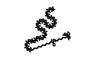 CO[Si](CCCCCNC(=O)CCCCCCCCCC[Si](C)(C)O[Si](C)(C)O[Si](C)(C)O[Si](C)(C)O[Si](C)(C)O[Si](C)(C)O[Si](C)(C)O[Si](C)(C)O[Si](C)(C)O[Si](C)(C)O[Si](C)(C)O[Si](C)(C)O[Si](C)(C)O[Si](C)(C)O[Si](C)(C)O[Si](C)(C)O[Si](C)(C)O[Si](C)(C)O[Si](C)(C)O[Si](C)(C)C)(OC)OC